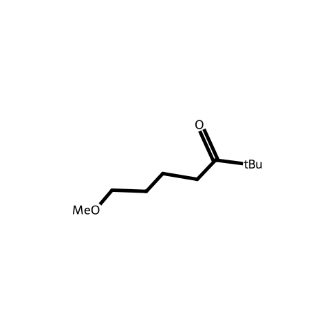 COCCCCC(=O)C(C)(C)C